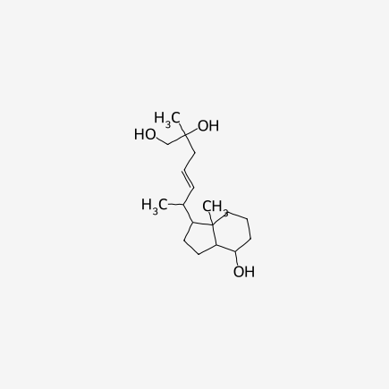 CC(C=CCC(C)(O)CO)C1CCC2C(O)CCCC12C